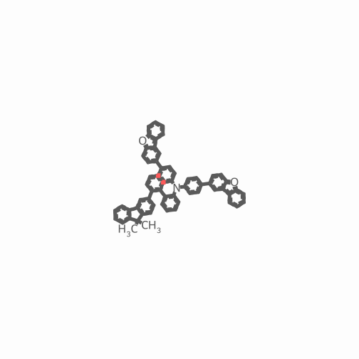 CC1(C)c2ccccc2-c2cc(-c3ccccc3-c3ccccc3N(c3ccc(-c4ccc5oc6ccccc6c5c4)cc3)c3ccc(-c4ccc5oc6ccccc6c5c4)cc3)ccc21